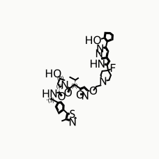 Cc1ncsc1-c1ccc([C@H](C)NC(=O)[C@@H]2C[C@@H](O)CN2C(=O)[C@@H](c2cc(OCCN3CCC(F)(c4cc5cc(-c6ccccc6O)nnc5[nH]4)CC3)no2)C(C)C)cc1